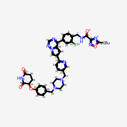 CC(C)(C)c1nc(C(=O)NCc2ccc(-c3ncnn4cc(-c5ccc(CN6CCN(Cc7ccc(OC8CCC(=O)NC8=O)cc7)CC6)cn5)cc34)cc2F)no1